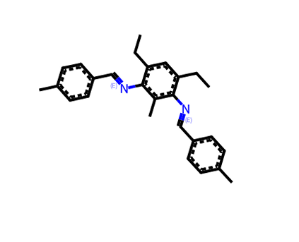 CCc1cc(CC)c(/N=C/c2ccc(C)cc2)c(C)c1/N=C/c1ccc(C)cc1